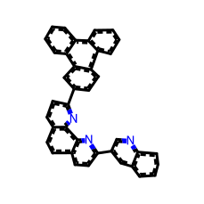 c1ccc2ncc(-c3ccc4ccc5ccc(-c6ccc7c8ccccc8c8ccccc8c7c6)nc5c4n3)cc2c1